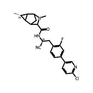 C[C@H]1C2C3CC(C21)N(C)C3C(=O)N[C@H](C#N)Cc1ccc(-c2ccc(Cl)nc2)cc1F